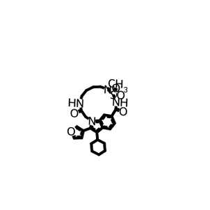 CN1CCCCNC(=O)Cn2c(-c3ccoc3)c(C3CCCCC3)c3ccc(cc32)C(=O)NS1(=O)=O